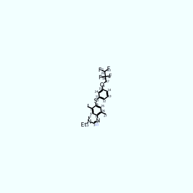 CCN(C)/C=N\c1cc(C)c(Sc2cccc(OCC(F)(F)C(F)F)c2)cc1C